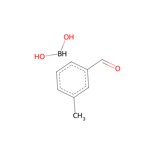 Cc1cccc(C=O)c1.OBO